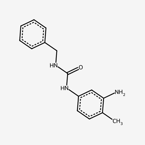 Cc1ccc(NC(=O)NCc2ccccc2)cc1N